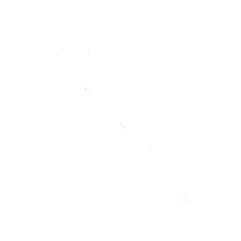 CC(C)(C)[C@H](N)C(=O)N1CCC(NC(=O)c2ccc(C#N)cc2)CC1